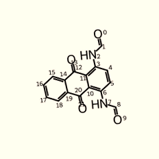 O=CNc1ccc(NC=O)c2c1C(=O)c1ccccc1C2=O